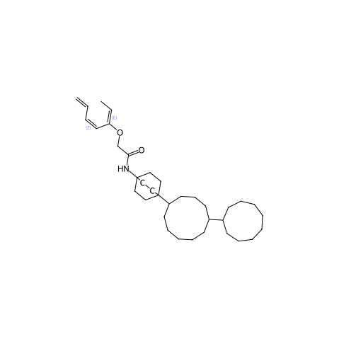 C=C/C=C\C(=C/C)OCC(=O)NC12CCC(C3CCCCCC(C4CCCCCCCC4)CCC3)(CC1)CC2